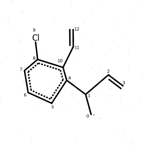 [CH2]C(C=C)c1cccc(Cl)c1C=C